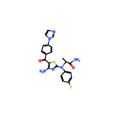 CC(C(N)=O)N(c1ccc(F)cc1)c1nc(N)c(C(=O)c2ccc(-n3ccnc3)cc2)s1